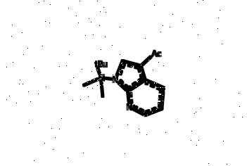 CC(=O)c1cn([Si](C)(C)C(C)(C)C)c2ncccc12